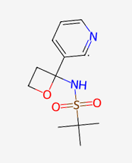 CC(C)(C)S(=O)(=O)NC1(c2[c]nccc2)CCO1